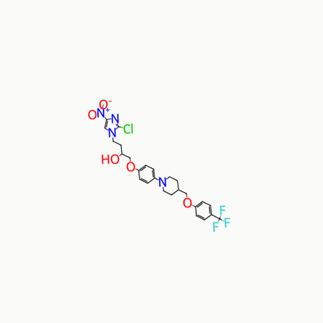 O=[N+]([O-])c1cn(CCC(O)COc2ccc(N3CCC(COc4ccc(C(F)(F)F)cc4)CC3)cc2)c(Cl)n1